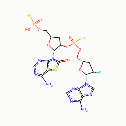 Nc1ncnc2c1ncn2[C@@H]1O[C@H](CO[P@](=O)(S)O[C@@H]2CC(CO[P@@](=O)(O)S)O[C@H]2n2c(=O)sc3c(N)ncnc32)C[C@H]1F